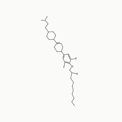 CCCCCCCCC(F)COc1c(F)cc(C2CC[SiH](C3CCC(CCC(C)C)CC3)CC2)cc1F